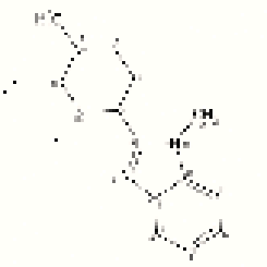 CN1CCC(c2nc3c[c]ccc3n2C)CC1